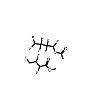 CC(=O)OC(F)C(F)(F)C(F)(F)C(F)F.COC(=O)C(F)C(F)CF